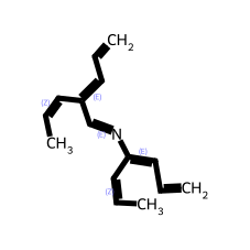 C=C/C=C(\C=C/C)/C=N/C(/C=C\C)=C/C=C